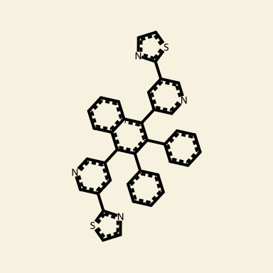 c1ccc(-c2c(-c3ccccc3)c(-c3cncc(-c4nccs4)c3)c3ccccc3c2-c2cncc(-c3nccs3)c2)cc1